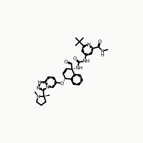 CNC(=O)c1cc(NC(=O)N[C@@]2(C=O)C=C[C@@H](Oc3ccc4nnc([C@]5(C)CCCN5C)n4c3)c3ccccc32)cc(C(C)(C)C)n1